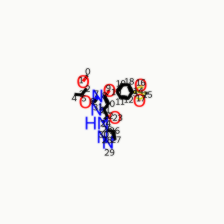 COCC(C)Oc1nc(Oc2ccc(S(C)(=O)=O)cc2)cc(C(=O)Nc2ccn(C)n2)n1